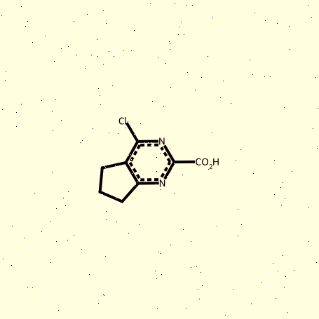 O=C(O)c1nc(Cl)c2c(n1)CCC2